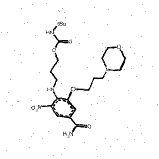 CC(C)(C)NC(=O)OCCCNc1c(OCCCN2CCOCC2)cc(C(N)=O)cc1[N+](=O)[O-]